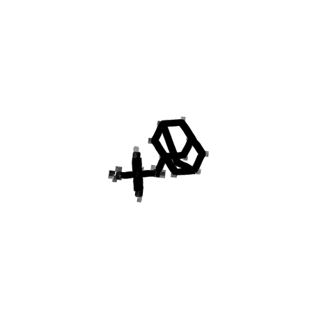 O=S(=O)(NC12CC3CC(CC(C3)C1)C2)C(F)(F)F